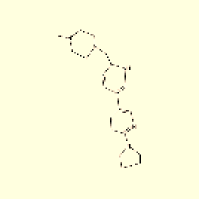 CN1CCN(CC2C=CC(c3ccc(N4CCCC4)nc3)=CN2)CC1